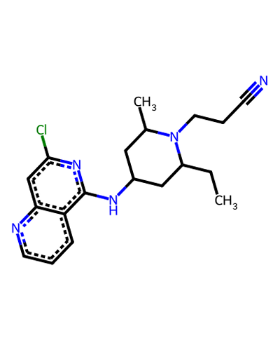 CCC1CC(Nc2nc(Cl)cc3ncccc23)CC(C)N1CCC#N